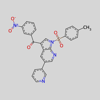 Cc1ccc(S(=O)(=O)n2cc(C(=O)c3cccc([N+](=O)[O-])c3)c3cc(-c4cccnc4)cnc32)cc1